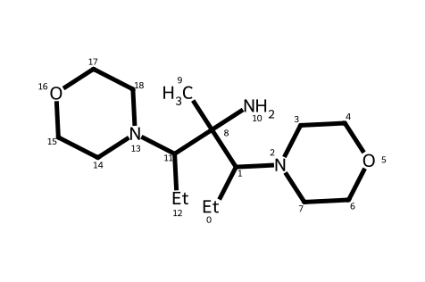 CCC(N1CCOCC1)C(C)(N)C(CC)N1CCOCC1